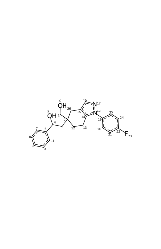 OCC1(CC(O)c2ccccc2)CCc2c(cnn2-c2ccc(F)cc2)C1